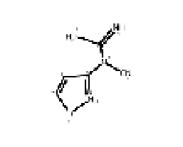 N#CN(C(=N)N)c1ccon1